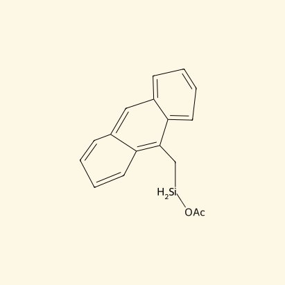 CC(=O)O[SiH2]Cc1c2ccccc2cc2ccccc12